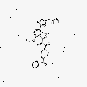 COc1cnc(-c2ncc(CNC=O)s2)c2[nH]cc(C(=O)C(=O)N3CCN(C(=O)c4ccccc4)CC3)c12